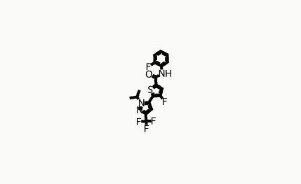 CC(C)n1nc(C(F)(F)F)cc1-c1sc(C(=O)Nc2ccccc2F)cc1F